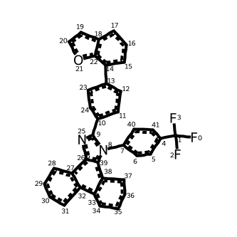 FC(F)(F)c1ccc(-n2c(-c3ccc(-c4cccc5ccoc45)cc3)nc3c4ccccc4c4ccccc4c32)cc1